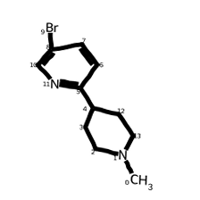 CN1CCC(c2ccc(Br)cn2)CC1